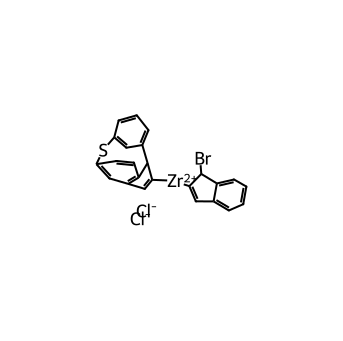 BrC1[C]([Zr+2][C]2=Cc3cc4ccc3C2c2cccc(c2)S4)=Cc2ccccc21.[Cl-].[Cl-]